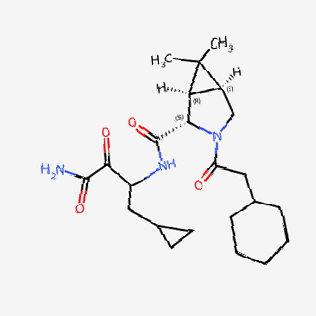 CC1(C)[C@@H]2[C@@H](C(=O)NC(CC3CC3)C(=O)C(N)=O)N(C(=O)CC3CCCCC3)C[C@@H]21